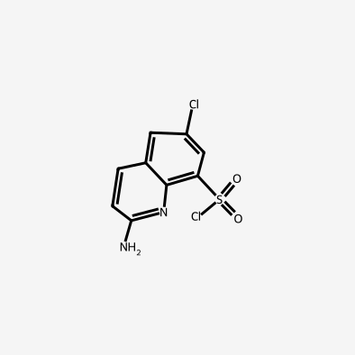 Nc1ccc2cc(Cl)cc(S(=O)(=O)Cl)c2n1